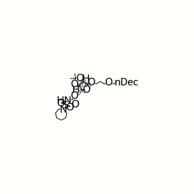 CCCCCCCCCCCOCCCO[C@@H]1O[C@H](COC(=O)NS(=O)(=O)N2CCCCCC2)[C@@H]2OC(C)(C)O[C@H]12